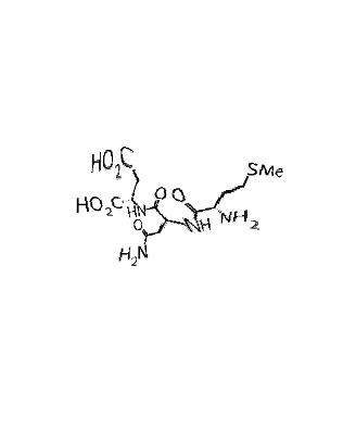 CSCC[C@H](N)C(=O)N[C@@H](CC(N)=O)C(=O)N[C@@H](CC(=O)O)C(=O)O